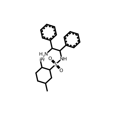 CC1CCC(C(C)C)C(S(=O)(=O)NC(c2ccccc2)C(N)c2ccccc2)C1